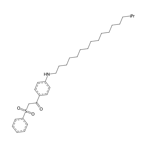 CC(C)CCCCCCCCCCCCCCNc1ccc(C(=O)CS(=O)(=O)c2ccccc2)cc1